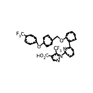 O=C(O)c1cnn(-c2cccc(-c3ccccc3OCc3ccc(Oc4ccc(C(F)(F)F)cc4)cc3)n2)c1C(F)(F)F